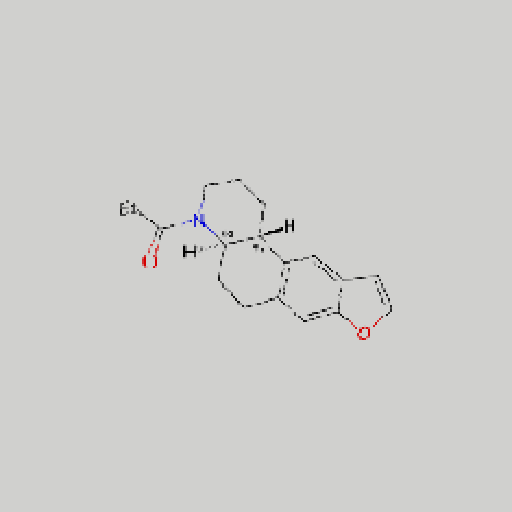 CCC(=O)N1CCC[C@@H]2c3cc4ccoc4cc3CC[C@H]21